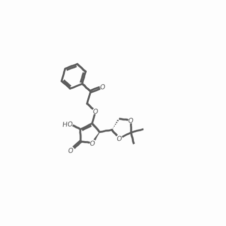 CC1(C)OC[C@@H]([C@H]2OC(=O)C(O)=C2OCC(=O)c2ccccc2)O1